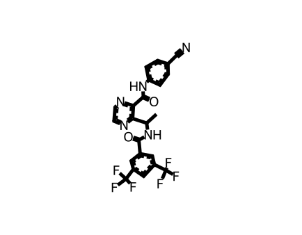 CC(NC(=O)c1cc(C(F)(F)F)cc(C(F)(F)F)c1)c1nccnc1C(=O)Nc1ccc(C#N)cc1